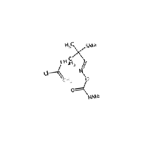 C=C(C)Cl.CNC(=O)O/N=C/C(C)(C)SC